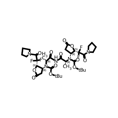 C[C@H](C(=O)NC(=O)[C@@H](C)N(C(=O)OC(C)(C)C)[C@@H]1CC(=O)O[C@@H]1C(F)(F)C(=O)N1CCCC1)N(C(=O)OC(C)(C)C)[C@@H]1CC(=O)O[C@@H]1C(F)(F)C(=O)N1CCCC1